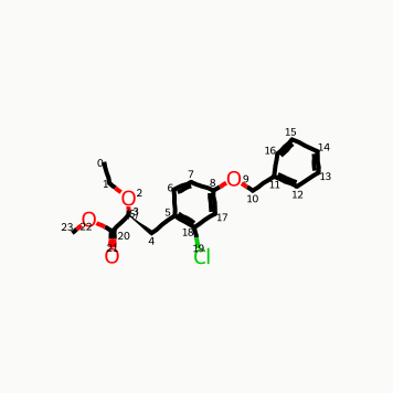 CCO[C@@H](Cc1ccc(OCc2ccccc2)cc1Cl)C(=O)OC